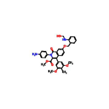 COC(=O)c1c(-c2cc(OC)c(C)c(OC)c2)c2ccc(OCc3ccccc3NCO)cc2c(=O)n1-c1ccc(N)cc1